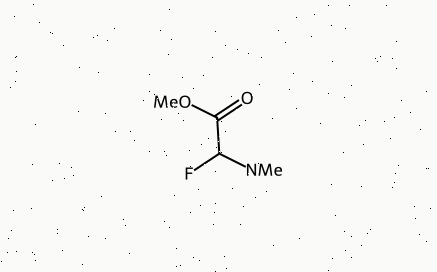 CNC(F)C(=O)OC